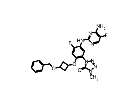 Cn1nnn(-c2cc(Nc3ncc(F)c(N)n3)c(F)cc2OC2CC(OCc3ccccc3)C2)c1=O